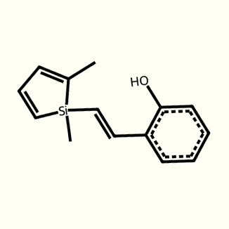 CC1=CC=C[Si]1(C)/C=C/c1ccccc1O